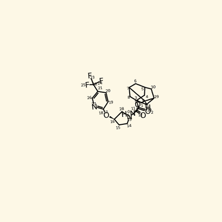 NC(=O)[C@]12CC3CC(C1)[C@@H](OC(=O)N1CC[C@@H](Oc4ccc(C(F)(F)F)cn4)C1)C(C3)C2